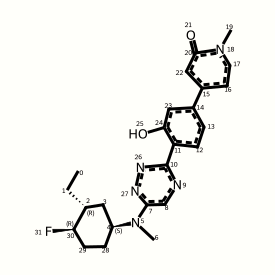 CC[C@@H]1C[C@@H](N(C)c2cnc(-c3ccc(-c4ccn(C)c(=O)c4)cc3O)nn2)CC[C@H]1F